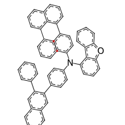 c1ccc(-c2cc3ccccc3cc2-c2ccc(N(c3ccc(-c4cccc5cccc(-c6ccccc6)c45)cc3)c3cccc4oc5ccccc5c34)cc2)cc1